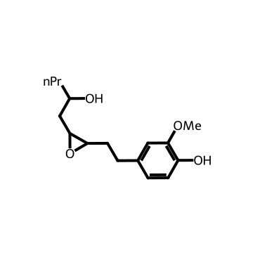 CCCC(O)CC1OC1CCc1ccc(O)c(OC)c1